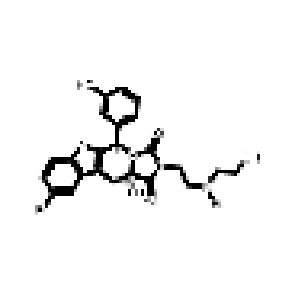 CCN(CCO)CCN1C(=O)N2[C@H](c3cccc(O)c3)c3[nH]c4ccc(Br)cc4c3C[C@@]2(C)C1=O